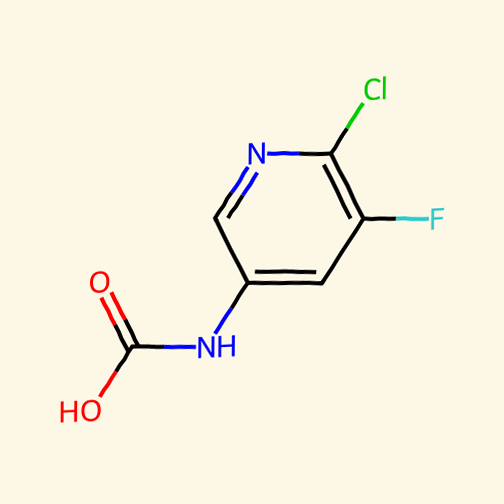 O=C(O)Nc1cnc(Cl)c(F)c1